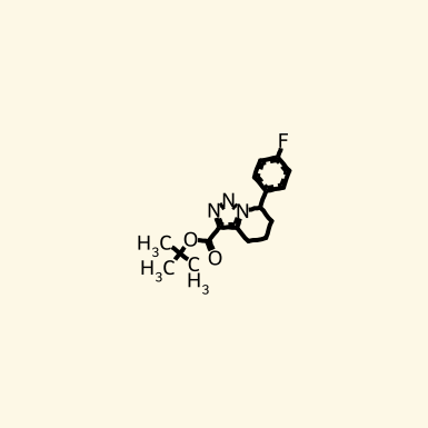 CC(C)(C)OC(=O)c1nnn2c1CCCC2c1ccc(F)cc1